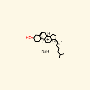 CC(C)CCC[C@@H](C)[C@H]1CCC2[C@H]3CC=C4CC(O)CC[C@]4(C)[C@@H]3CC[C@@]21C.[NaH]